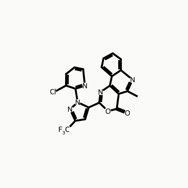 Cc1nc2ccccc2c2nc(-c3cc(C(F)(F)F)nn3-c3ncccc3Cl)oc(=O)c12